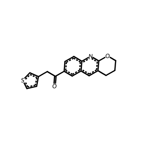 O=C(Cc1ccsc1)c1ccc2nc3c(cc2c1)CCCO3